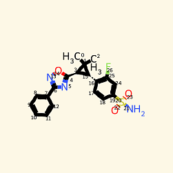 CC1(C)[C@H](c2nc(-c3ccccc3)no2)[C@H]1c1ccc(S(N)(=O)=O)cc1F